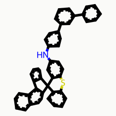 c1ccc(-c2cccc(-c3ccc(Nc4ccc5c(c4)C4(c6ccccc6S5)c5ccccc5-c5c4ccc4ccccc54)cc3)c2)cc1